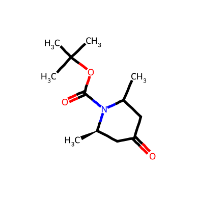 CC1CC(=O)C[C@@H](C)N1C(=O)OC(C)(C)C